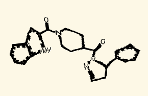 O=C(c1cc2ccccc2[nH]1)N1CCC(C(=O)N2N=CCC2c2ccccc2)CC1